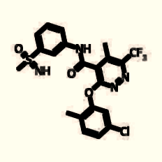 Cc1ccc(Cl)cc1Oc1nnc(C(F)(F)F)c(C)c1C(=O)Nc1cccc(S(C)(=N)=O)c1